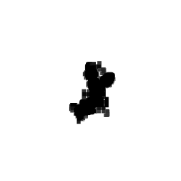 CN1CCN(c2ccc(C(=O)Nc3n[nH]c4c3CN(S(=O)(=O)c3cc(F)cc(F)c3)C4(C)C)c(NC3CCOCC3)c2)CC1